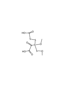 COSS(OC)(SSC(=O)O)C(=O)C(=O)O